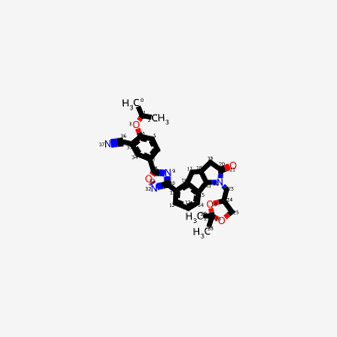 CC(C)Oc1ccc(-c2nc(-c3cccc4c3CC3CC(=O)N(CC5COC(C)(C)O5)C43)no2)cc1C#N